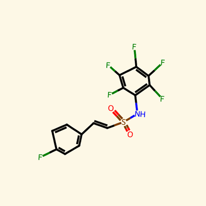 O=S(=O)(C=Cc1ccc(F)cc1)Nc1c(F)c(F)c(F)c(F)c1F